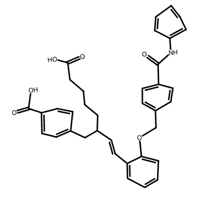 O=C(O)CCCCC(/C=C/c1ccccc1OCc1ccc(C(=O)Nc2ccccc2)cc1)Cc1ccc(C(=O)O)cc1